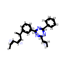 C/C=C\C=C/C(C)c1cccc(-c2nc(/C=C/C)nc(-c3ccccc3)n2)c1